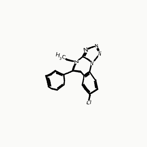 CN1c2nnnn2-c2ccc(Cl)cc2C1c1ccccc1